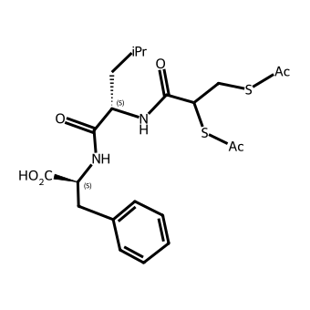 CC(=O)SCC(SC(C)=O)C(=O)N[C@@H](CC(C)C)C(=O)N[C@@H](Cc1ccccc1)C(=O)O